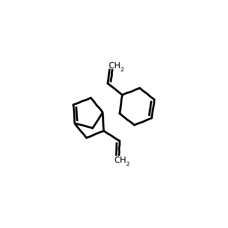 C=CC1CC2=CCC1C2.C=CC1CC=CCC1